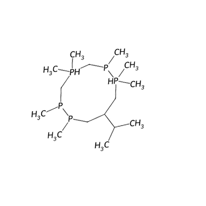 CC(C)C1CP(C)P(C)C[PH](C)(C)CP(C)[PH](C)(C)C1